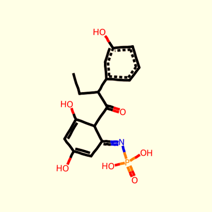 CCC(C(=O)C1C(O)=CC(O)=C/C1=N\P(=O)(O)O)c1cccc(O)c1